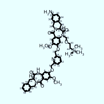 COc1cc2c(cc1OCc1cccc(COc3cc4c(cc3OC)C(=O)N3Cc5cc(N)ccc5C[C@H]3C(=O)N4COCC[Si](C)(C)C)n1)NC(=O)[C@@H]1Cc3ccccc3CN1C2=O